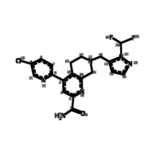 NC(=O)c1cc(-c2ccc(Cl)cn2)c2c(n1)CN(Cc1ccnn1C(F)F)CC2